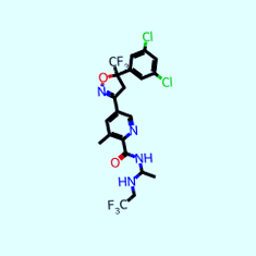 Cc1cc(C2=NOC(c3cc(Cl)cc(Cl)c3)(C(F)(F)F)C2)cnc1C(=O)NC(C)NCC(F)(F)F